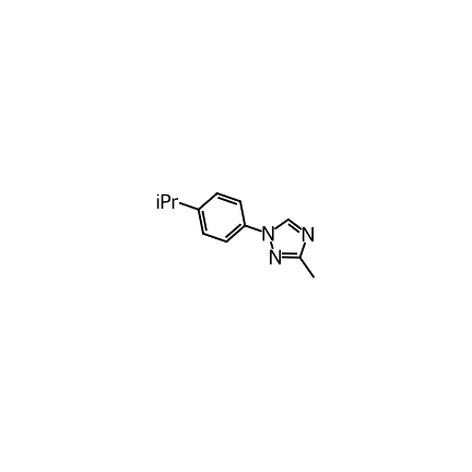 Cc1ncn(-c2ccc(C(C)C)cc2)n1